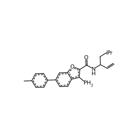 C=CC(CC(C)C)NC(=O)c1oc2cc(-c3ccc(C)cc3)ccc2c1P